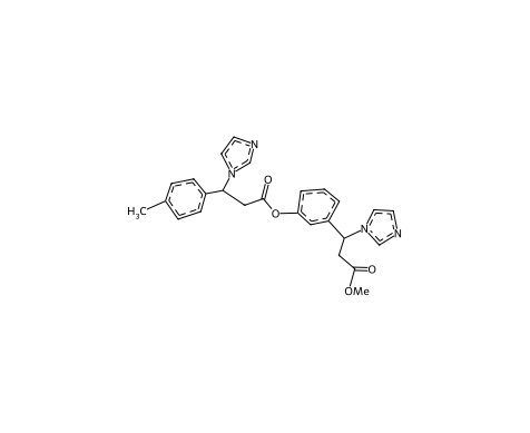 COC(=O)CC(c1cccc(OC(=O)CC(c2ccc(C)cc2)n2ccnc2)c1)n1ccnc1